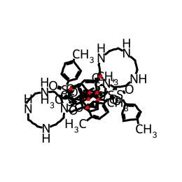 Cc1ccc(S(=O)(=O)C2(S(=O)(=O)c3ccc(C)cc3)CNCCNCCNCC[N+]2(Cc2ccc(C[N+]3(S(=O)(=O)c4ccc(C)cc4)CCNCCNCCNCC3(S(=O)(=O)c3ccc(C)cc3)S(=O)(=O)c3ccc(C)cc3)cc2)S(=O)(=O)c2ccc(C)cc2)cc1